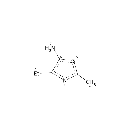 CCc1nc(C)sc1N